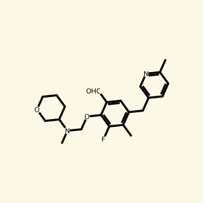 Cc1ccc(Cc2cc(C=O)c(OCN(C)C3CCCOC3)c(F)c2C)cn1